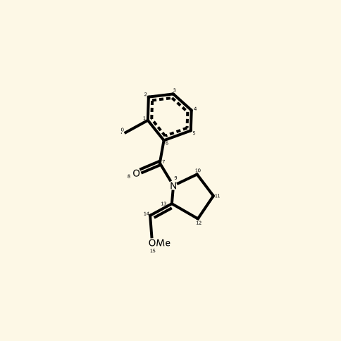 [CH2]c1ccccc1C(=O)N1CCCC1=COC